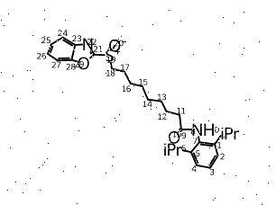 CC(C)c1cccc(C(C)C)c1NC(=O)CCCCCCCC[S+]([O-])c1nc2ccccc2o1